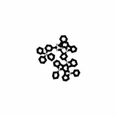 c1ccc(-c2nc(-c3cccc([Si](c4ccccc4)(c4ccccc4)c4ccccc4)c3)nc(-c3ccc(-n4c5ccccc5c5c6c(c7ccccc7n6-c6ccccc6)c6c(c7ccccc7n6-c6ccccc6)c54)cc3-n3c4ccccc4c4ccccc43)n2)cc1